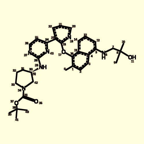 Cc1ccc2c(NCC(C)(C)O)cccc2c1Oc1ncccc1-c1ccnc(N[C@H]2CCCN(C(=O)OC(C)(C)C)C2)n1